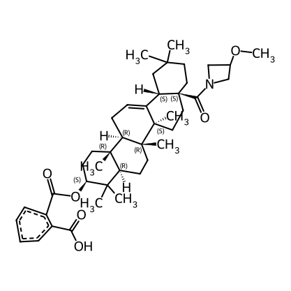 COC1CN(C(=O)[C@]23CCC(C)(C)C[C@H]2C2=CC[C@@H]4[C@@]5(C)CC[C@H](OC(=O)c6ccccc6C(=O)O)C(C)(C)[C@@H]5CC[C@@]4(C)[C@]2(C)CC3)C1